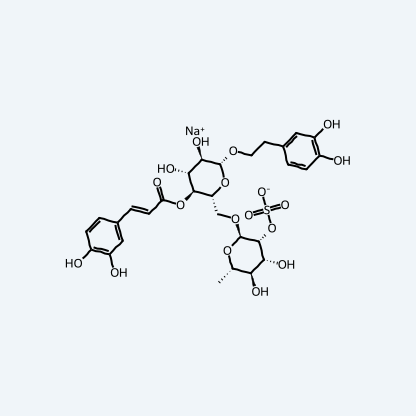 C[C@@H]1O[C@@H](OC[C@H]2O[C@@H](OCCc3ccc(O)c(O)c3)[C@H](O)[C@@H](O)[C@@H]2OC(=O)/C=C/c2ccc(O)c(O)c2)[C@H](OS(=O)(=O)[O-])[C@H](O)[C@H]1O.[Na+]